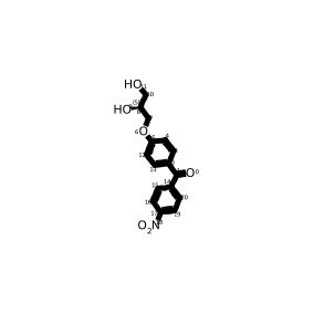 O=C(c1ccc(OC[C@@H](O)CO)cc1)c1ccc([N+](=O)[O-])cc1